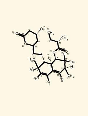 [2H]C1=C([2H])[C@]([2H])(C)[C@H](CCC2C[C@@H](O)CC(=O)O2)[C@@H]2C1=C([2H])[C@]([2H])(C)C([2H])([2H])[C@@H]2OC(=O)[C@@H](C)CC